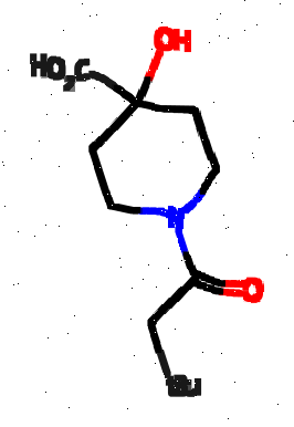 CC(C)(C)CC(=O)N1CCC(O)(C(=O)O)CC1